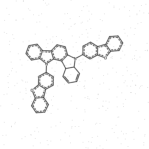 C1=CC2c3c(ccc4c5ccccc5n(-c5ccc6c(c5)oc5ccccc56)c34)N(c3ccc4c(c3)oc3ccccc34)C2C=C1